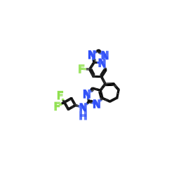 Fc1cc(C2=CCCCc3nc(NC4CC(F)(F)C4)ncc32)cn2ncnc12